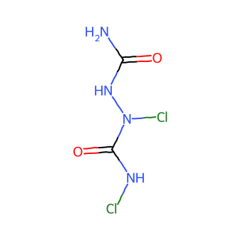 NC(=O)NN(Cl)C(=O)NCl